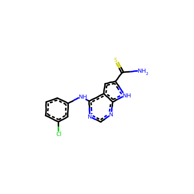 NC(=S)c1cc2c(Nc3cccc(Cl)c3)ncnc2[nH]1